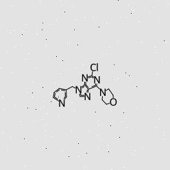 Clc1nc(N2CCOCC2)c2ncn(Cc3cccnc3)c2n1